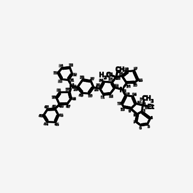 CCC1(C)c2ccccc2-c2ccc(N3c4ccccc4C(C)(C)c4cc(-c5ccc(N(c6ccccc6)c6ccc(-c7ccccc7)cc6)cc5)ccc43)cc21